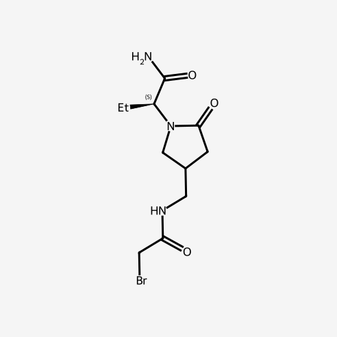 CC[C@@H](C(N)=O)N1CC(CNC(=O)CBr)CC1=O